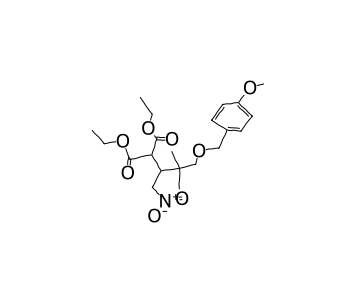 CCOC(=O)C(C(=O)OCC)C(C[N+](=O)[O-])C(C)(C)COCc1ccc(OC)cc1